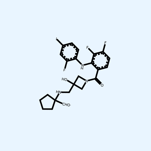 O=[C]C1(NCC2(O)CN(C(=O)c3ccc(F)c(F)c3Nc3ccc(I)cc3F)C2)CCCC1